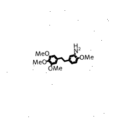 COc1ccc(CCc2cc(OC)c(OC)c(OC)c2)cc1N